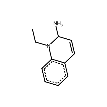 CCN1c2ccccc2C=CC1N